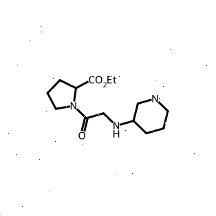 CCOC(=O)C1CCCN1C(=O)CNC1CCC[N]C1